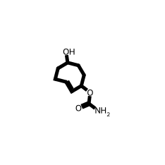 NC(=O)OC1/C=C/CCC(O)CC1